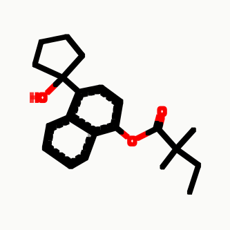 CCC(C)(C)C(=O)Oc1ccc(C2(O)CCCC2)c2ccccc12